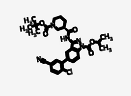 CC(C)OC(=O)n1nc(NC(=O)[C@@H]2CCCN(C(=O)OC(C)(C)C)C2)c2cc(-c3cc(C#N)ccc3Cl)ccc21